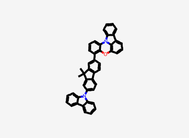 CC1(C)c2cc(-c3cccc4c3Oc3cccc5c6ccccc6n-4c35)ccc2-c2ccc(-n3c4ccccc4c4ccccc43)cc21